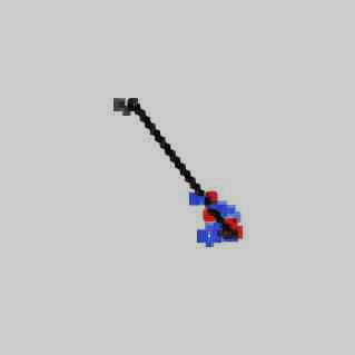 CCCCCCCCCCCCCCCCCCCCCCCCCCCCNC(=O)CNC(=O)C(N)CCC(NC(=N)N)C(=O)O